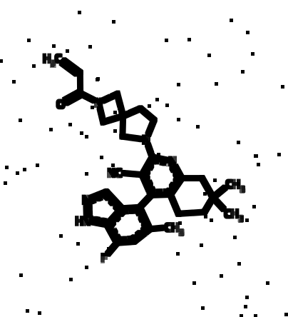 C=CC(=O)N1CC2(CCN(c3nc4c(c(-c5c(C)cc(F)c6[nH]ncc56)c3C#N)CCC(C)(C)C4)C2)C1